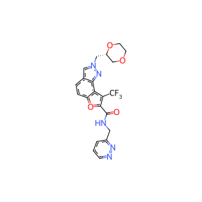 O=C(NCc1cccnn1)c1oc2ccc3cn(C[C@H]4COCCO4)nc3c2c1C(F)(F)F